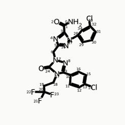 NC(=O)c1nc(Cn2nc(-c3ccc(Cl)cc3)n(CCC(F)(F)F)c2=O)nn1-c1cccc(Cl)c1